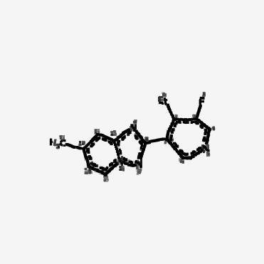 CCc1c(F)cncc1-c1nc2cc(C)ccn2n1